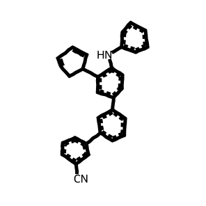 N#Cc1cccc(-c2cccc(-c3ccc(Nc4ccccc4)c(C4C=CC=CC4)c3)c2)c1